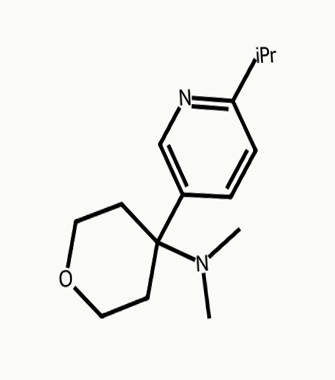 CC(C)c1ccc(C2(N(C)C)CCOCC2)cn1